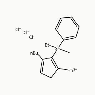 CCCCC1=CC[C]([Ti+3])=C1[Si](C)(CC)c1ccccc1.[Cl-].[Cl-].[Cl-]